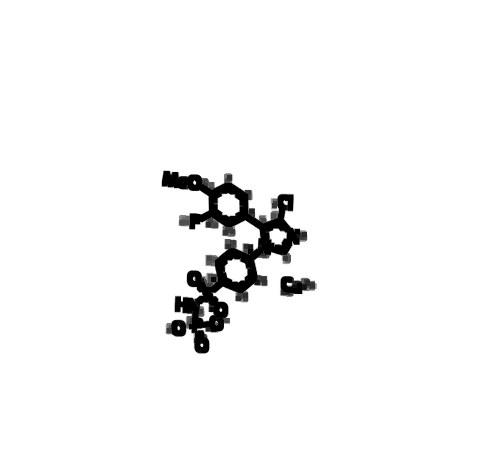 COc1ccc(-c2c(Cl)ncn2-c2ccc(S(=O)(=O)NP(=O)([O-])[O-])cc2)cc1F.[Ca+2]